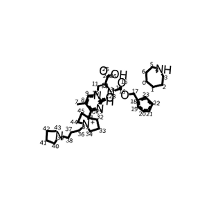 C1CCCNCC1.Cc1cn(C[C@H](NC(=O)OCc2ccccc2)C(=O)O)c(=O)nc1C12CCC[N+]1(CCCN1CCCC1)CC2